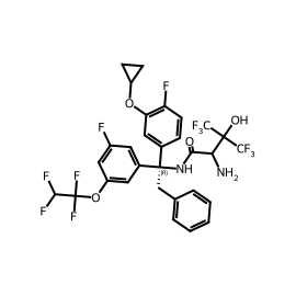 NC(C(=O)N[C@@](Cc1ccccc1)(c1cc(F)cc(OC(F)(F)C(F)F)c1)c1ccc(F)c(OC2CC2)c1)C(O)(C(F)(F)F)C(F)(F)F